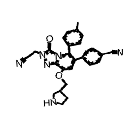 Cc1ccc(-c2c(-c3ccc(C#N)cc3)cc(OCC3CCNC3)c3nn(CC#N)c(=O)n23)cc1